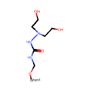 CCCCCOCNC(=O)NN(CCO)CCO